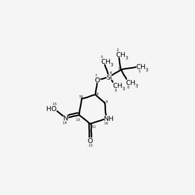 CC(C)(C)[Si](C)(C)OC1CNC(=O)/C(=N/O)C1